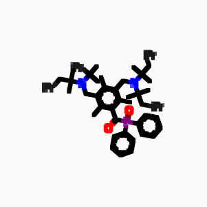 Cc1c(CN(C(C)(C)CC(C)C)C(C)(C)CC(C)C)c(C)c(C(=O)P(=O)(c2ccccc2)c2ccccc2)c(C)c1CN(C(C)(C)CC(C)C)C(C)(C)C(C)C